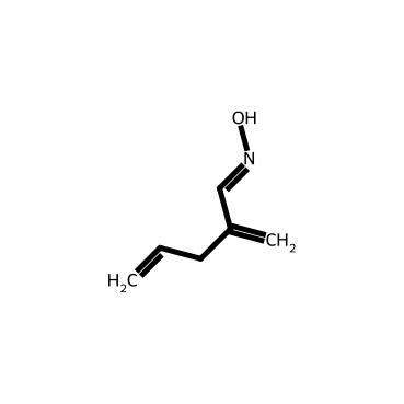 C=CCC(=C)C=NO